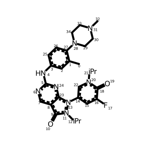 Cc1cc(Nc2ncc3c(=O)n(C(C)C)n(-c4cc(F)c(=O)n(C(C)C)c4)c3n2)ccc1N1CCN(C)CC1